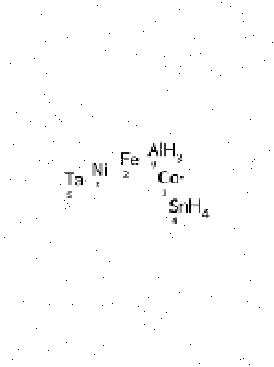 [AlH3].[Co].[Fe].[Ni].[SnH4].[Ta]